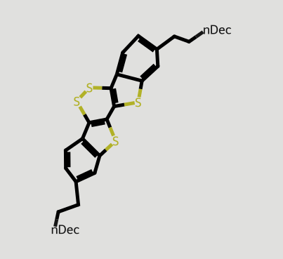 CCCCCCCCCCCCc1ccc2c3c(sc2c1)-c1sc2cc(CCCCCCCCCCCC)ccc2c1SS3